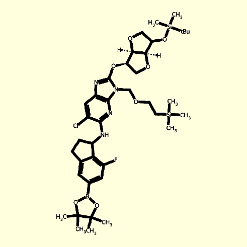 CC1(C)OB(c2cc(F)c3c(c2)CCC3Nc2nc3c(cc2Cl)nc(O[C@@H]2CO[C@@H]4C(O[Si](C)(C)C(C)(C)C)CO[C@@H]42)n3COCC[Si](C)(C)C)OC1(C)C